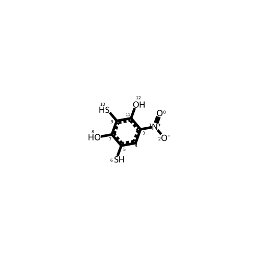 O=[N+]([O-])c1cc(S)c(O)c(S)c1O